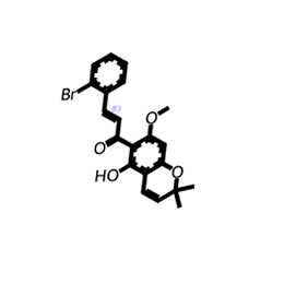 COc1cc2c(c(O)c1C(=O)/C=C/c1ccccc1Br)C=CC(C)(C)O2